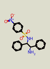 N[C@H](c1ccccc1)[C@H](NS(=O)(=O)c1ccc([N+](=O)[O-])cc1)c1ccccc1